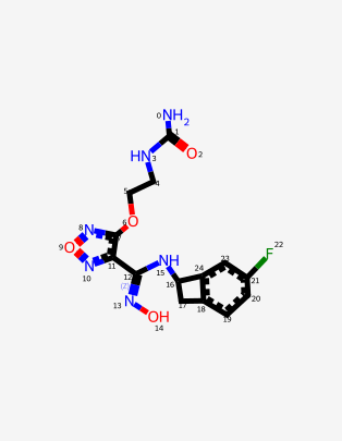 NC(=O)NCCOc1nonc1/C(=N/O)NC1Cc2ccc(F)cc21